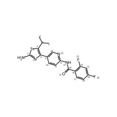 CC(C)c1sc(N)nc1-c1ccc(NC(=O)c2ccc(F)cc2F)nc1